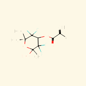 C=C(C)C(=O)OC1C(F)(F)C(O)(C(F)(F)F)O[C@@](C)(C(F)(F)F)C1(F)F